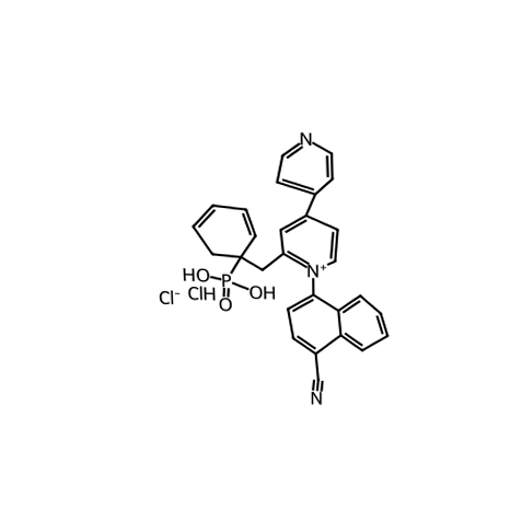 Cl.N#Cc1ccc(-[n+]2ccc(-c3ccncc3)cc2CC2(P(=O)(O)O)C=CC=CC2)c2ccccc12.[Cl-]